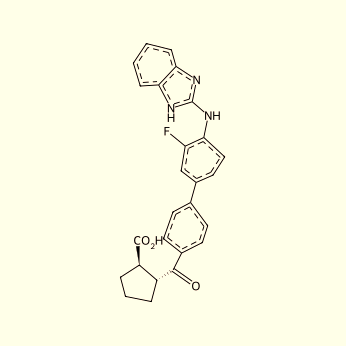 O=C(O)[C@@H]1CCC[C@H]1C(=O)c1ccc(-c2ccc(Nc3nc4ccccc4[nH]3)c(F)c2)cc1